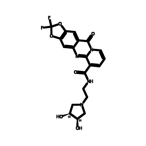 O=C(NCCN1C[C@@H](O)[C@H](O)C1)c1cccn2c(=O)c3cc4c(cc3nc12)OC(F)(F)O4